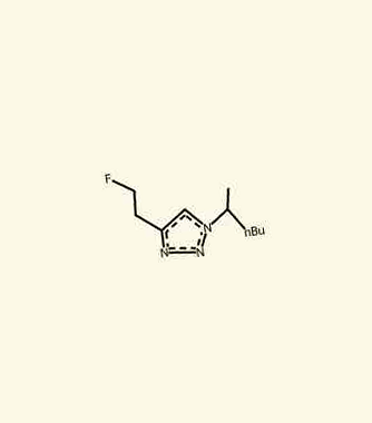 CCCCC(C)n1cc(CCF)nn1